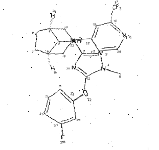 Cn1nc(NC2[C@@H]3CC[C@H]2CN(c2ccnc(C(F)(F)F)c2)C3)nc1Oc1cccc(F)c1